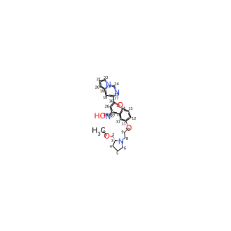 COC[C@H]1CCCN1CCOc1ccc2oc(-c3cc4cccn4cn3)c/c(=N\O)c2c1